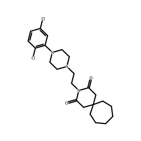 O=C1CC2(CCCCCC2)CC(=O)N1CCN1CCN(c2cc(Cl)ccc2Cl)CC1